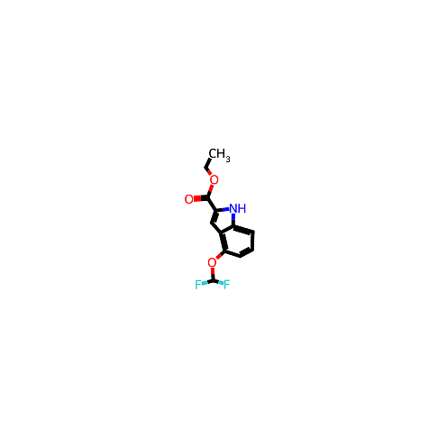 CCOC(=O)c1cc2c(OC(F)F)cccc2[nH]1